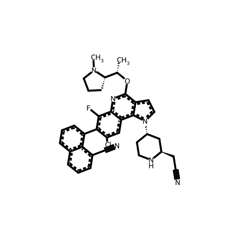 C[C@H](Oc1nc2c(F)c(-c3cccc4cccc(C#N)c34)c(Cl)cc2c2c1ccn2[C@H]1CCN[C@H](CC#N)C1)[C@@H]1CCCN1C